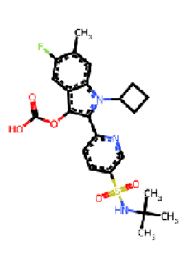 Cc1cc2c(cc1F)c(OC(=O)O)c(-c1ccc(S(=O)(=O)NC(C)(C)C)cn1)n2C1CCC1